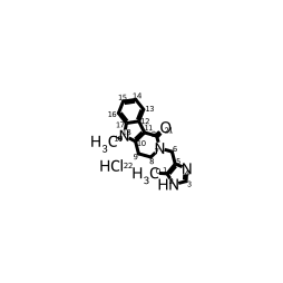 Cc1[nH]cnc1CN1CCc2c(c3ccccc3n2C)C1=O.Cl